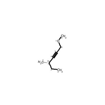 CC[C@H](C)C#CCOC